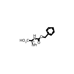 CCC[C@H](NC(=O)OCc1ccccc1)C(=O)O